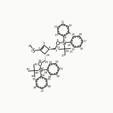 CSC1=C[C@@H](CO[Si](c2ccccc2)(c2ccccc2)C(C)(C)C)[C@@H]1CO[Si](c1ccccc1)(c1ccccc1)C(C)(C)C